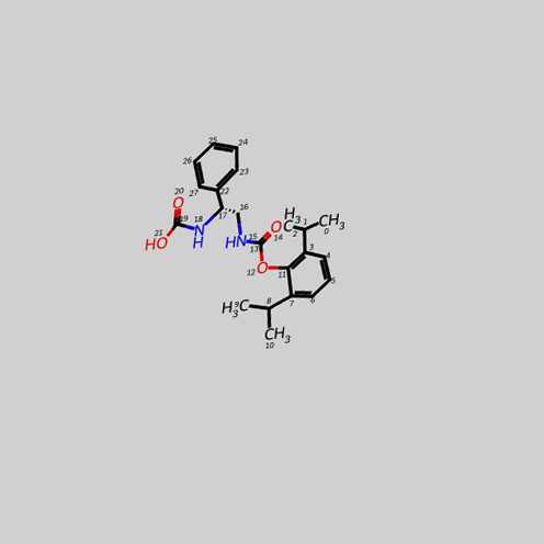 CC(C)c1cccc(C(C)C)c1OC(=O)NC[C@H](NC(=O)O)c1ccccc1